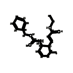 CCOC(=O)C=CC1C(C)CC=CC1NC(=O)OCc1ccccc1